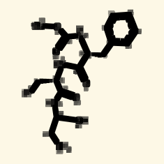 CC(C)C[C@H](NC(=O)[C@@H](Cc1ccccc1)NC(=O)OC(C)(C)C)C(=O)NC(O)CN